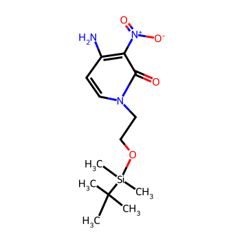 CC(C)(C)[Si](C)(C)OCCn1ccc(N)c([N+](=O)[O-])c1=O